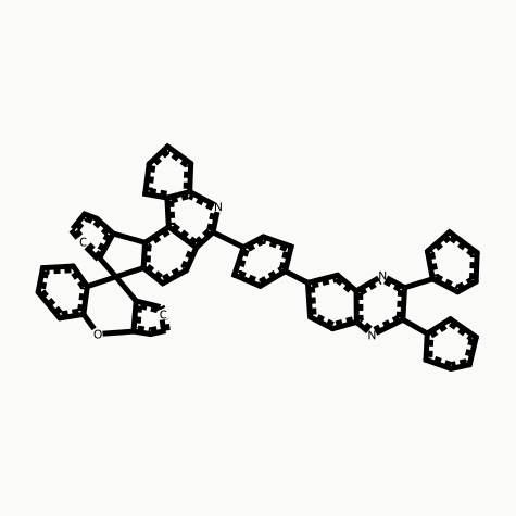 c1ccc(-c2nc3ccc(-c4ccc(-c5nc6ccccc6c6c7c(ccc56)C5(c6ccccc6Oc6ccccc65)c5ccccc5-7)cc4)cc3nc2-c2ccccc2)cc1